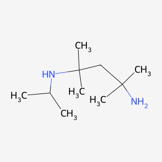 CC(C)NC(C)(C)CC(C)(C)N